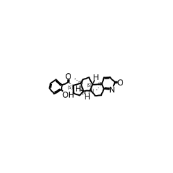 C[C@]12CC[C@H]3[C@@H](CCC4=NC(=O)C=C[C@@]43C)[C@@H]1CC[C@@H]2C(=O)c1ccccc1O